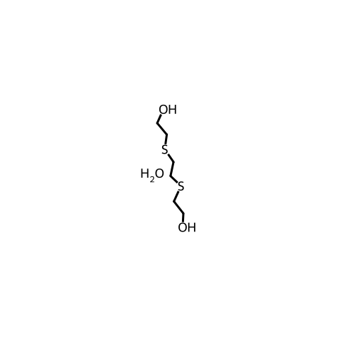 O.OCCSCCSCCO